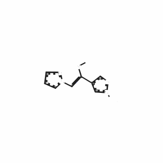 CN/C(=C\n1cccn1)c1cnn(C)c1